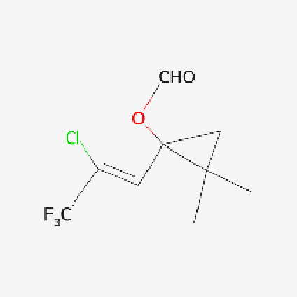 CC1(C)CC1(C=C(Cl)C(F)(F)F)OC=O